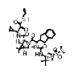 C=CCNC(=O)C(=O)C(NC(=O)[C@@H]1[C@@H]2[C@H](CN1C(=O)[C@@H](NC(=O)N[C@H](CN(C)S(=O)(=O)N(C)C)C(C)(C)C)C1Cc3ccccc3C1)C2(C)C)C1CC1